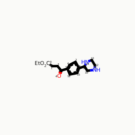 CCOC(=O)CCC(=O)c1ccc(C2CNCCN2)cc1